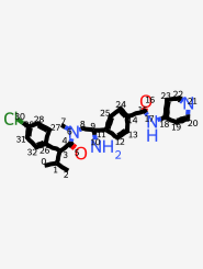 CC(C)C(C(=O)N(C)CC(N)c1ccc(C(=O)Nc2ccncc2)cc1)c1ccc(Cl)cc1